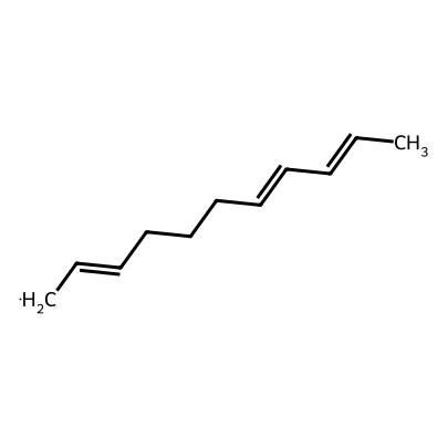 [CH2]C=CCCCC=CC=CC